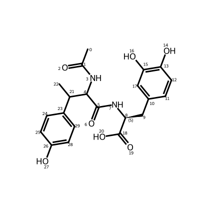 CC(=O)NC(C(=O)N[C@@H](Cc1ccc(O)c(O)c1)C(=O)O)C(C)c1ccc(O)cc1